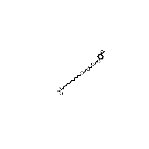 COc1ccc(OCCOCCOCCOCCCCCCCCCCCSC(C)=O)cc1